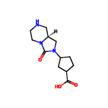 O=C(O)C1CCC(N2C[C@@H]3CNCCN3C2=O)C1